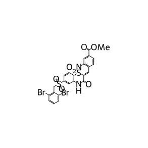 COC(=O)c1ccc(/C=C2\Sc3ccc(S(=O)(=O)Cc4c(Br)cccc4Br)cc3NC2=O)c([N+](=O)[O-])c1